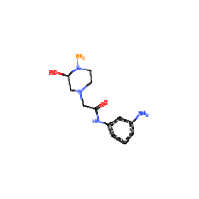 Nc1cccc(NC(=O)CN2CCN(P)C(O)C2)c1